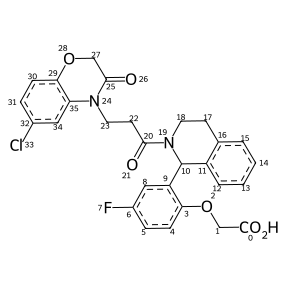 O=C(O)COc1ccc(F)cc1C1c2ccccc2CCN1C(=O)CCN1C(=O)COc2ccc(Cl)cc21